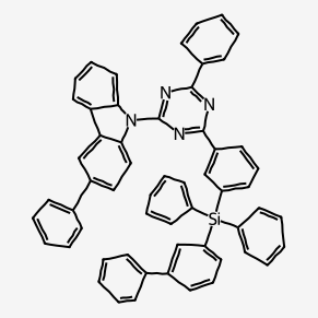 c1ccc(-c2cccc([Si](c3ccccc3)(c3ccccc3)c3cccc(-c4nc(-c5ccccc5)nc(-n5c6ccccc6c6cc(-c7ccccc7)ccc65)n4)c3)c2)cc1